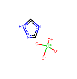 [O-][Cl+3]([O-])([O-])O.c1nc[nH]n1